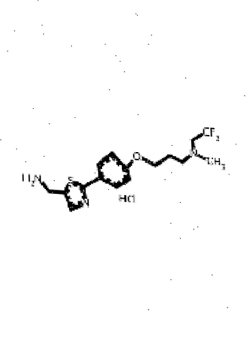 CN(CCCOc1ccc(-c2ncc(CN)s2)cc1)CC(F)(F)F.Cl